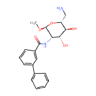 CO[C@H]1O[C@H](CN)[C@@H](O)[C@H](O)[C@@H]1NC(=O)c1cccc(-c2ccccc2)c1